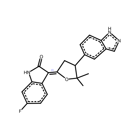 CC1(C)O/C(=C2/C(=O)Nc3cc(F)ccc32)CC1c1ccc2[nH]ncc2c1